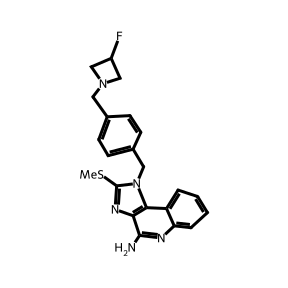 CSc1nc2c(N)nc3ccccc3c2n1Cc1ccc(CN2CC(F)C2)cc1